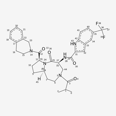 CC(C)C(=O)N1CC[C@H]2CC[C@@H](C(=O)N3CCc4ccccc4C3)N2C(=O)[C@@H](NC(=O)c2cc3cc(C(C)(F)F)ccc3[nH]2)C1